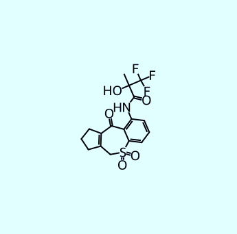 CC(O)(C(=O)Nc1cccc2c1C(=O)C1=C(CCC1)CS2(=O)=O)C(F)(F)F